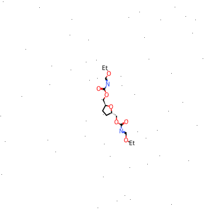 CCO/C=N/C(=O)OC[C@@H]1CC[C@@H](COC(=O)/N=C/OCC)O1